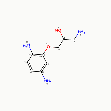 NCC(O)COc1cc(N)ccc1N